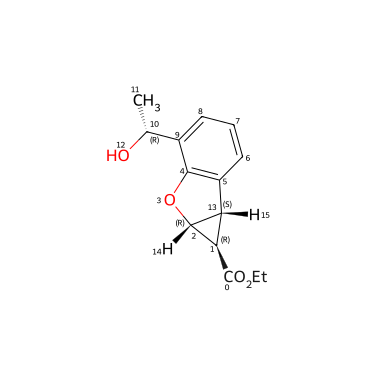 CCOC(=O)[C@H]1[C@@H]2Oc3c(cccc3[C@@H](C)O)[C@@H]21